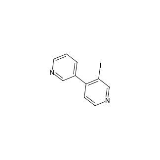 Ic1cnccc1-c1cccnc1